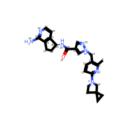 Cc1nc(N2CCC3(CC3)C2)ccc1Cn1cc(C(=O)N[C@@H]2CCc3c2ccnc3N)cn1